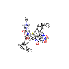 CC(NS(C)(=O)=O)[C@H]1C(=O)N2C(C(=O)O)=C(S[C@H]3C[C@@H](C(=O)N4CCN(C)CC4)N(C(=O)OCc4ccc([N+](=O)[O-])cc4)C3)[C@](C)(Cc3ccc([N+](=O)[O-])cc3)[C@H]12